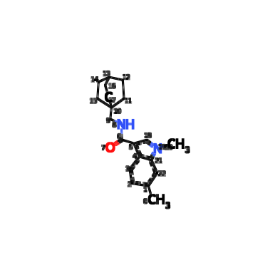 Cc1ccc2c(C(=O)NCC34CCC(CC3)CC4)cn(C)c2c1